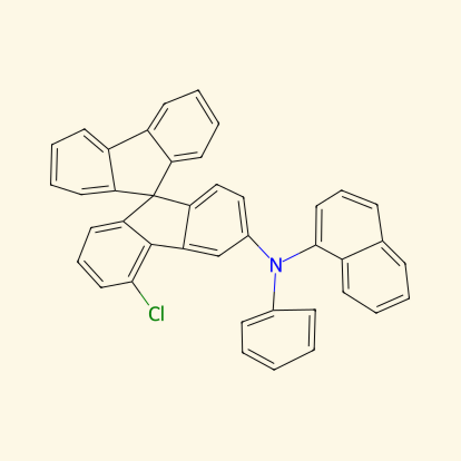 Clc1cccc2c1-c1cc(N(c3ccccc3)c3cccc4ccccc34)ccc1C21c2ccccc2-c2ccccc21